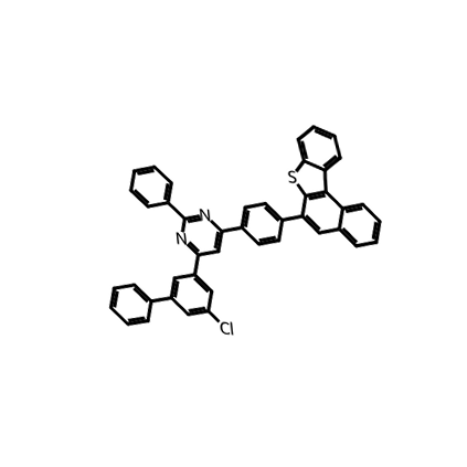 Clc1cc(-c2ccccc2)cc(-c2cc(-c3ccc(-c4cc5ccccc5c5c4sc4ccccc45)cc3)nc(-c3ccccc3)n2)c1